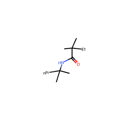 CCCC(C)(C)NC(=O)C(C)(C)CC